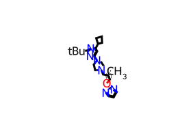 C[C@H](COc1ncccn1)CN1CCN(c2cc(C3CCC3)nc(C(C)(C)C)n2)CC1